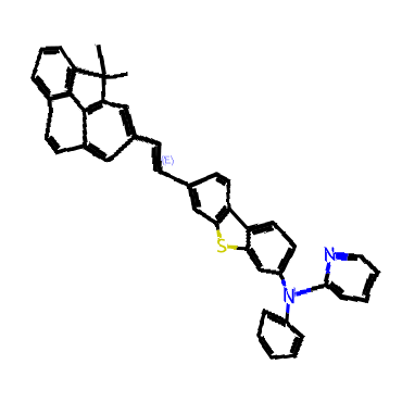 CC1(C)c2cccc3ccc4cc(/C=C/c5ccc6c(c5)sc5cc(N(c7ccccc7)c7ccccn7)ccc56)cc1c4c23